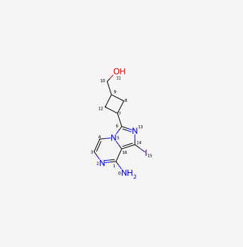 Nc1nccn2c(C3CC(CO)C3)nc(I)c12